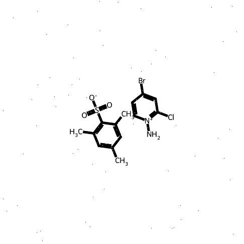 Cc1cc(C)c(S(=O)(=O)[O-])c(C)c1.N[n+]1ccc(Br)cc1Cl